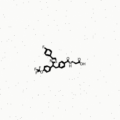 O=C(O)CCNC(=O)c1ccc(CC(c2ccc(OC(F)(F)F)cc2)c2nc(-c3ccc(F)cc3)cs2)cc1